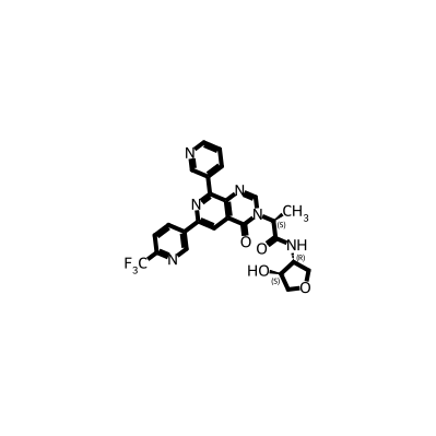 C[C@@H](C(=O)N[C@@H]1COC[C@H]1O)n1cnc2c(-c3cccnc3)nc(-c3ccc(C(F)(F)F)nc3)cc2c1=O